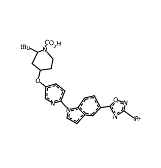 CC(C)c1noc(-c2ccc3c(ccn3-c3ccc(OC4CCN(C(=O)O)C(C(C)(C)C)C4)cn3)c2)n1